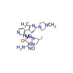 Cc1nc(N2CCN(C)CC2)ccc1-c1ccncc1NC(=O)C(C(N)N=O)C1NCC(F)CN1C